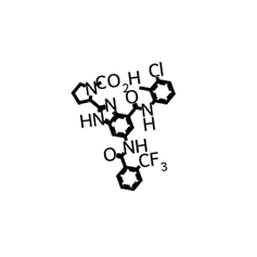 Cc1c(Cl)cccc1NC(=O)c1cc(NC(=O)c2ccccc2C(F)(F)F)cc2[nH]c(C3CCCN3C(=O)O)nc12